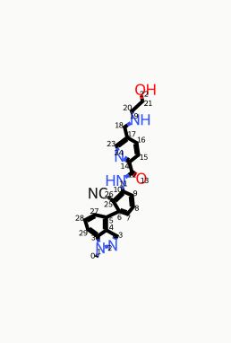 Cn1ncc2c(-c3cccc(NC(=O)c4ccc(CNCCO)cn4)c3C#N)cccc21